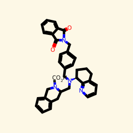 O=C1c2ccccc2C(=O)N1Cc1ccc(CN(CC2Cc3ccccc3CN2C(=O)O)[C@H]2CCCc3cccnc32)cc1